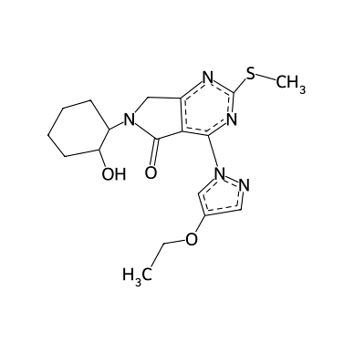 CCOc1cnn(-c2nc(SC)nc3c2C(=O)N(C2CCCCC2O)C3)c1